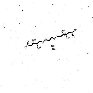 O=S([O-])C[C@@H](O)[C@H](O)CSSCCSSC[C@@H](O)[C@H](O)CS(=O)[O-].[Na+].[Na+]